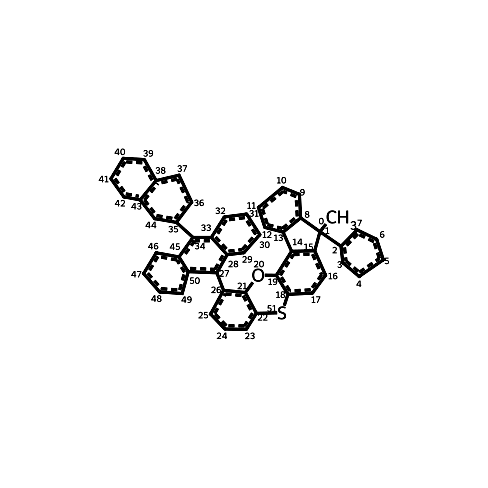 CC1(c2ccccc2)c2ccccc2-c2c1ccc1c2Oc2c(cccc2-c2c3ccccc3c(-c3ccc4ccccc4c3)c3ccccc23)S1